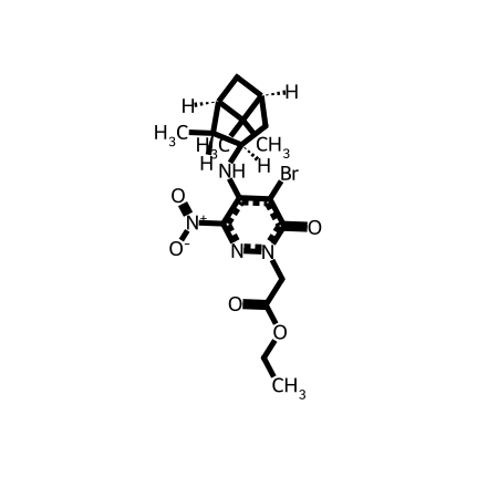 CCOC(=O)Cn1nc([N+](=O)[O-])c(N[C@@H]2C[C@@H]3C[C@H]([C@H]2C)C3(C)C)c(Br)c1=O